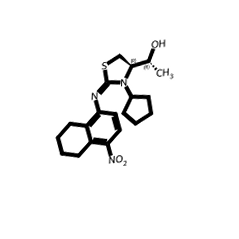 C[C@@H](O)[C@@H]1CSC(=Nc2ccc([N+](=O)[O-])c3c2CCCC3)N1C1CCCC1